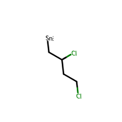 ClCCC(Cl)[CH2][Sn]